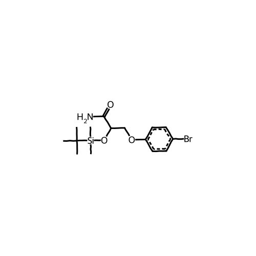 CC(C)(C)[Si](C)(C)OC(COc1ccc(Br)cc1)C(N)=O